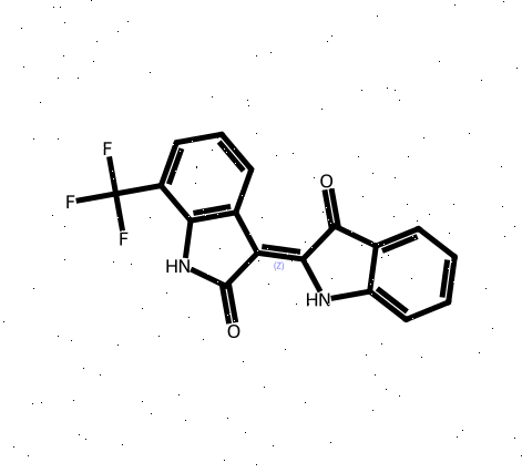 O=C1Nc2c(cccc2C(F)(F)F)/C1=C1/Nc2ccccc2C1=O